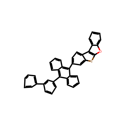 c1ccc(-c2cccc(-c3c4ccccc4c(-c4ccc5c(c4)sc4oc6ccccc6c45)c4ccccc34)c2)cc1